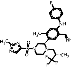 Cc1cc(Nc2ccc(F)cc2)c(C=N)cc1[C@@H]1CN(S(=O)(=O)c2cnn(C)n2)CCN1C[C@H](C)C(F)(F)F